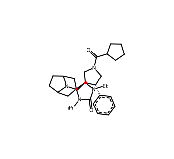 CCN1CC2(CC3CCC(C2)N3C[C@H]2CN(C(=O)C3CCCC3)C[C@@H]2c2ccccc2)N(C(C)C)C1=O